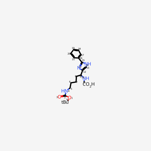 CC(C)(C)OC(=O)NCCCCC(NC(=O)O)c1c[nH]c(-c2ccccc2)n1